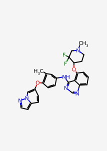 Cc1cc(Nc2ncnc3cccc(OC4CCN(C)CC4(F)F)c23)ccc1Oc1ccc2ccnn2c1